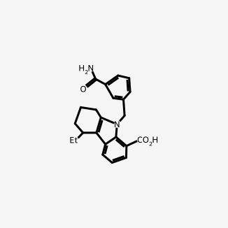 CCC1CCCc2c1c1cccc(C(=O)O)c1n2Cc1cccc(C(N)=O)c1